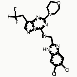 FC(F)(F)Cc1cnn2c(NCc3nc4cc(Cl)c(Cl)cc4[nH]3)nc(N3CCOCC3)nc12